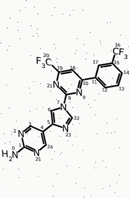 Nc1ncc(-c2cn(-c3nc(-c4cccc(C(F)(F)F)c4)cc(C(F)(F)F)n3)cn2)cn1